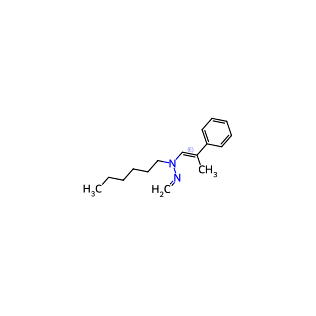 C=NN(/C=C(\C)c1ccccc1)CCCCCC